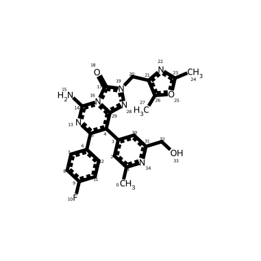 Cc1cc(-c2c(-c3ccc(F)cc3)nc(N)n3c(=O)n(Cc4nc(C)oc4C)nc23)cc(CO)n1